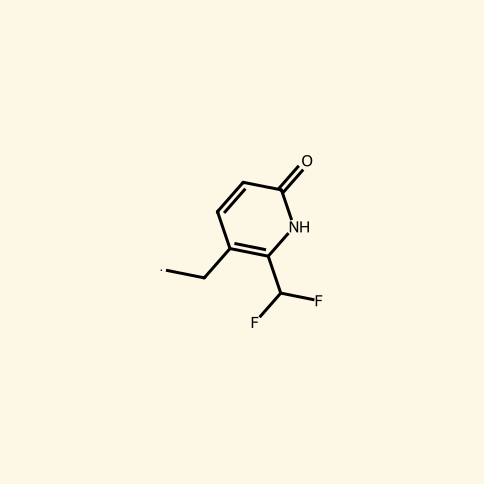 [CH2]Cc1ccc(=O)[nH]c1C(F)F